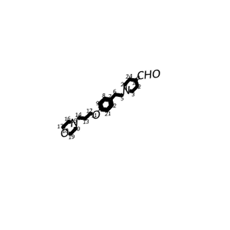 O=CC1CCN(CCc2ccc(OCCCN3CCOCC3)cc2)CC1